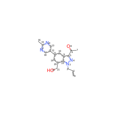 C=CCn1nc(C(C)=O)c2cc(-c3cnc(C)nc3)cc(CO)c21